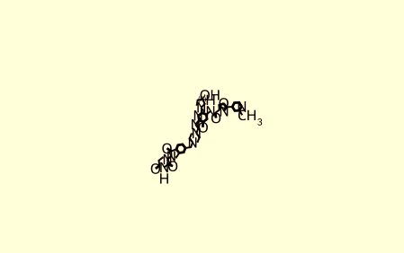 Cc1cc(-c2nc(C(=O)Nc3cc4oc(N5CCN(Cc6ccc7c(c6)CN(N6CCC(=O)NC6=O)C7=O)CC5)nc4nc3N3CC[C@@H](O)C3)co2)ccn1